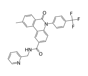 Cc1ccc2c(=O)n(-c3ccc(C(F)(F)F)cc3)c3ccc(C(=O)NCc4ccccn4)cc3c2c1